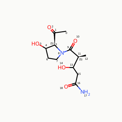 CC(=O)[C@@H]1C(O)CCN1C(=O)[C@@H](C)C(O)CC(N)=O